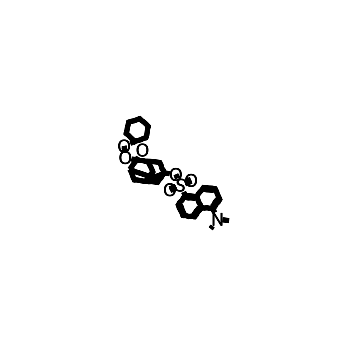 CN(C)c1cccc2c(S(=O)(=O)OC34CC5CC(C3)C3(OOC6(CCCCC6)O3)C(C5)C4)cccc12